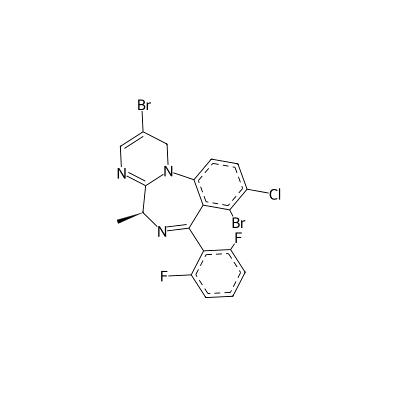 C[C@@H]1N=C(c2c(F)cccc2F)c2c(ccc(Cl)c2Br)N2CC(Br)=CN=C12